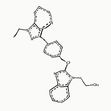 CCn1nc(-c2ccc(Oc3nc4ccccc4n3CCO)cc2)c2ncccc21